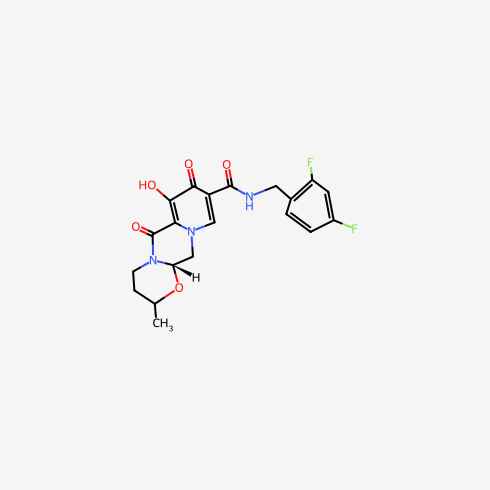 CC1CCN2C(=O)c3c(O)c(=O)c(C(=O)NCc4ccc(F)cc4F)cn3C[C@@H]2O1